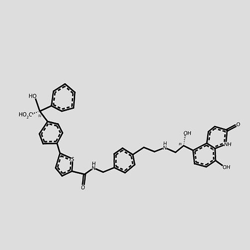 O=C(NCc1ccc(CCNC[C@H](O)c2ccc(O)c3[nH]c(=O)ccc23)cc1)c1ccc(-c2ccc([C@](O)(C(=O)O)c3ccccc3)cc2)s1